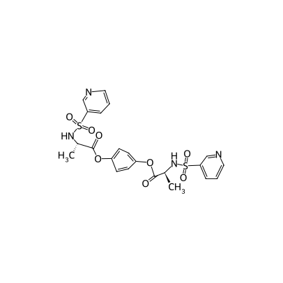 C[C@H](NS(=O)(=O)c1cccnc1)C(=O)Oc1ccc(OC(=O)[C@H](C)NS(=O)(=O)c2cccnc2)cc1